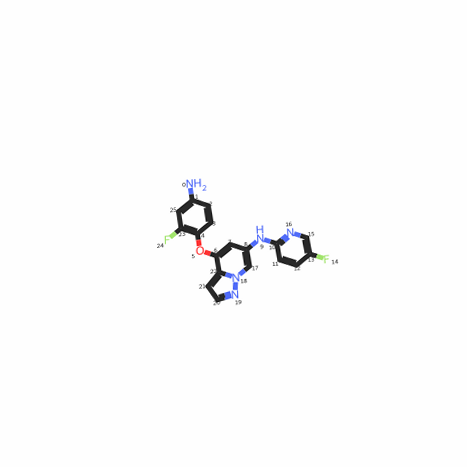 Nc1ccc(Oc2cc(Nc3ccc(F)cn3)cn3nccc23)c(F)c1